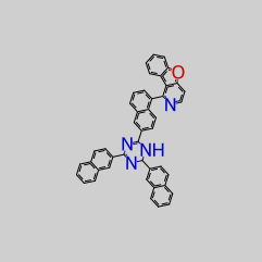 c1ccc2cc(C3=NC(c4ccc5ccccc5c4)NC(c4ccc5c(-c6nccc7oc8ccccc8c67)cccc5c4)=N3)ccc2c1